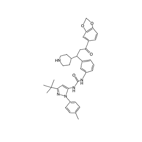 Cc1ccc(-n2nc(C(C)(C)C)cc2NC(=O)Nc2cccc(C(CC(=O)c3ccc4c(c3)OCO4)C3CCNCC3)c2)cc1